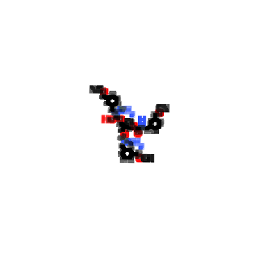 CCC(COCN(N)CC1CCCC(COC#N)C1)(COC(=O)NCC1CCCC(COC#N)C1)COC(O)N(N)CC1CCCC(COC#N)C1